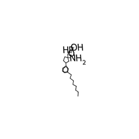 CCCCCCCCc1cccc(C2CCC(N)(COPO)C2)c1